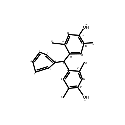 Cc1cc(C(c2ccccc2)c2cc(C)c(O)cc2C)c(C)cc1O